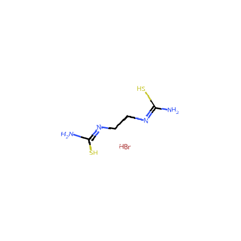 Br.NC(S)=NCCN=C(N)S